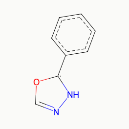 C1=NN[C](c2ccccc2)O1